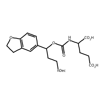 CCCCCCCCCCCCC(OC(=O)NC(CCC(=O)O)C(=O)O)c1ccc2c(c1)CCO2